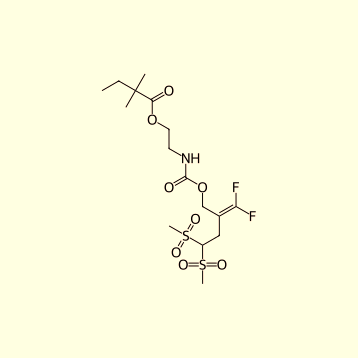 CCC(C)(C)C(=O)OCCNC(=O)OCC(CC(S(C)(=O)=O)S(C)(=O)=O)=C(F)F